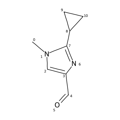 Cn1cc(C=O)nc1C1CC1